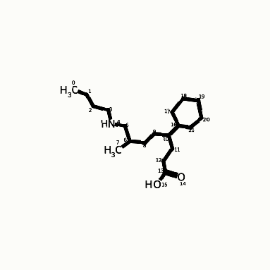 CCCCNCC(C)CCC(CCC(=O)O)C1CCCCC1